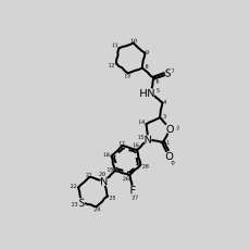 O=C1OC(CNC(=S)C2CCCCC2)CN1c1ccc(N2CCSCC2)c(F)c1